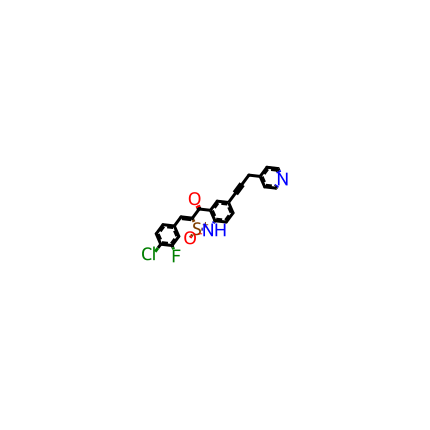 O=C1/C(=C/c2ccc(Cl)c(F)c2)[S+]([O-])Nc2ccc(C#CCc3ccncc3)cc21